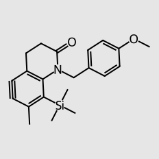 COc1ccc(CN2C(=O)CCc3c#cc(C)c([Si](C)(C)C)c32)cc1